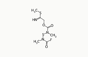 CSC(=N)COC(=O)N(C)SN(C)C(=O)F